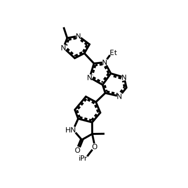 CCn1c(-c2cnc(C)nc2)nc2c(-c3ccc4c(c3)C(C)(OC(C)C)C(=O)N4)ncnc21